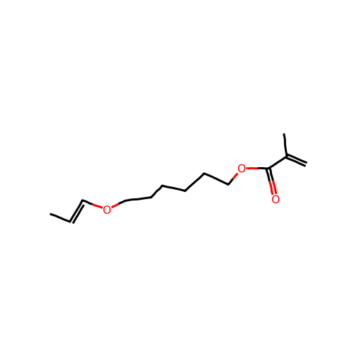 C=C(C)C(=O)OCCCCCCOC=CC